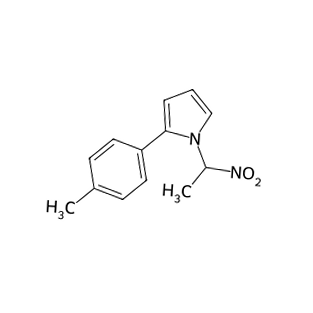 Cc1ccc(-c2cccn2C(C)[N+](=O)[O-])cc1